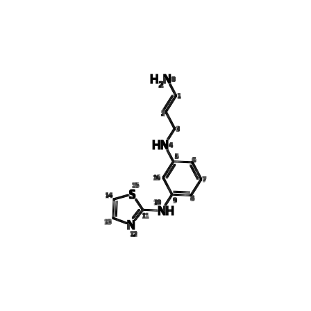 NC=CCNc1cccc(Nc2nccs2)c1